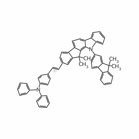 CC1(C)c2ccccc2-c2ccc(-n3c4ccccc4c4ccc5c(c43)C(C)(C)c3cc(/C=C/c4ccc(N(c6ccccc6)c6ccccc6)cc4)ccc3-5)cc21